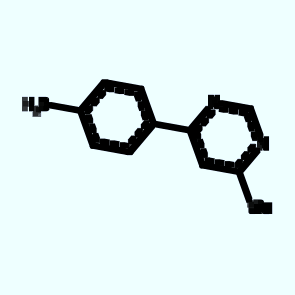 Bc1ccc(-c2cc(C(C)(C)C)ncn2)cc1